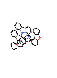 c1ccc(-c2ccc(N(c3cccc4oc5ccccc5c34)c3cccc4c5ccccc5n(C5(c6ccccc6)c6ccccc6-c6ccccc65)c34)cc2)cc1